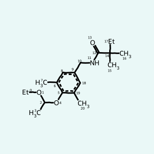 CCOC(C)Oc1c(C)cc(CNC(=O)C(C)(C)CC)cc1C